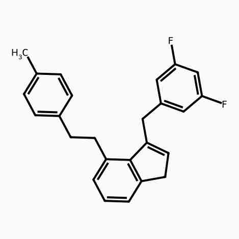 Cc1ccc(CCc2cccc3c2C(Cc2cc(F)cc(F)c2)=CC3)cc1